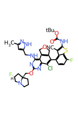 Cc1cc(CNc2nc(OC[C@@]34CCCN3C[C@H](F)C4)nc3c(Cl)c(-c4ccc(F)c5sc(NC(=O)OC(C)(C)C)c(C#N)c45)c4c(c23)COC4)[nH]n1